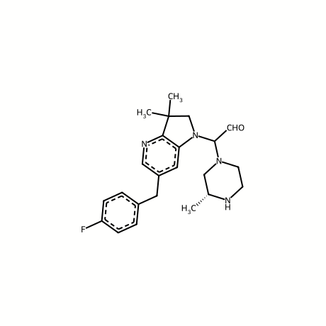 C[C@@H]1CN(C(C=O)N2CC(C)(C)c3ncc(Cc4ccc(F)cc4)cc32)CCN1